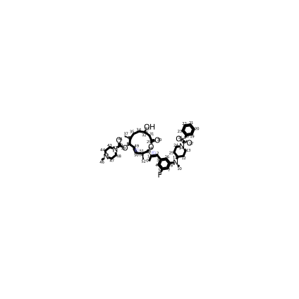 C/C(=C\c1cc(F)cc(N(C)C2CCN(S(=O)(=O)c3ccccc3)CC2)c1)[C@H]1OC(=O)C[C@H](O)CC[C@H](C)[C@H](OC(=O)N2CCN(C)CC2)/C=C/[C@@H]1C